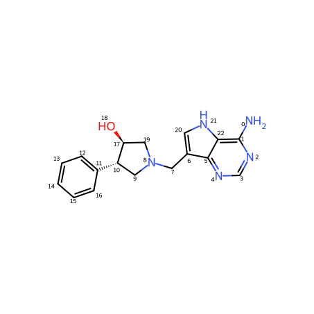 Nc1ncnc2c(CN3C[C@H](c4ccccc4)[C@@H](O)C3)c[nH]c12